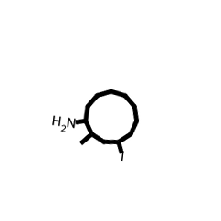 CC1CC(I)CCCCCCCC1N